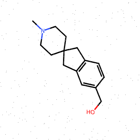 CN1CCC2(CC1)Cc1ccc(CO)cc1C2